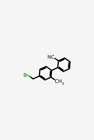 Cc1cc(CBr)ccc1-c1ccccc1C#N